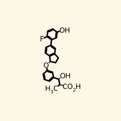 C[C@H](C(=O)O)[C@@H](O)c1cccc(O[C@@H]2CCc3cc(-c4cc(O)ccc4F)ccc32)c1